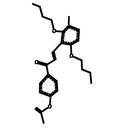 C=C(C)Oc1ccc(C(=O)C=Cc2c(OCCCC)ccc(C)c2OCCCC)cc1